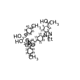 CCc1nc2cc(C(C)O)ccc2n1-c1ccc(CCN(C(=O)O)S(=O)(=O)c2ccc(C)cc2)cc1.Cc1ccc(S(=O)(=O)O)cc1